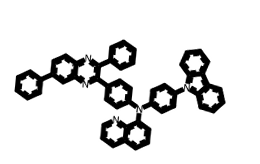 c1ccc(-c2ccc3nc(-c4ccccc4)c(-c4ccc(N(c5ccc(-n6c7ccccc7c7ccccc76)cc5)c5cccc6cccnc56)cc4)nc3c2)cc1